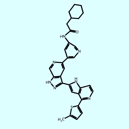 Cc1ccc(-c2nccc3[nH]c(-c4n[nH]c5cnc(-c6cncc(NC(=O)CC7CCCCC7)c6)cc45)cc23)s1